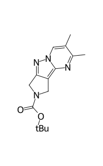 Cc1cn2nc3c(c2nc1C)CN(C(=O)OC(C)(C)C)C3